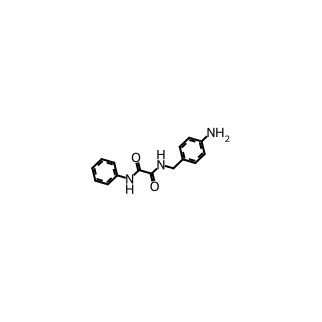 Nc1ccc(CNC(=O)C(=O)Nc2ccccc2)cc1